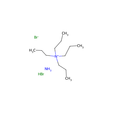 Br.CCC[N+](CCC)(CCC)CCC.N.[Br-]